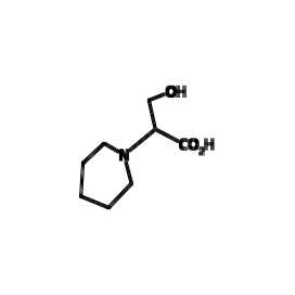 O=C(O)C(CO)N1CCCCC1